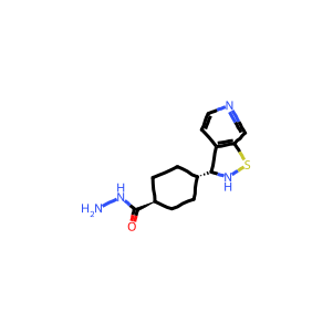 NNC(=O)[C@H]1CC[C@H](C2NSc3cnccc32)CC1